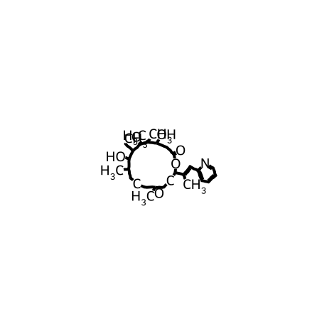 CCC1C(=O)C(C)(C)C(O)CC(=O)OC(C(C)=Cc2ccccn2)CC2OC2(C)CCCC(C)C1O